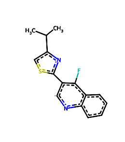 CC(C)c1csc(-c2[c]nc3ccccc3c2F)n1